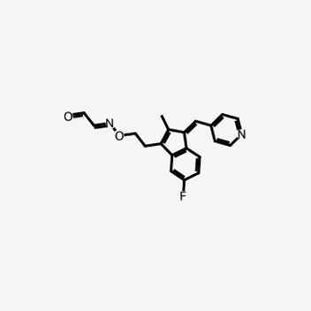 CC1=C(CCON=CC=O)c2cc(F)ccc2/C1=C\c1ccncc1